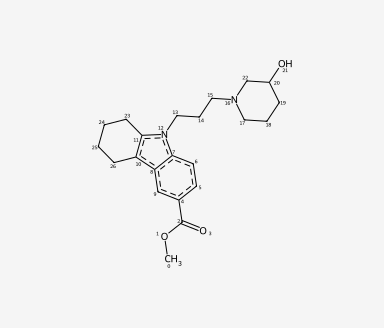 COC(=O)c1ccc2c(c1)c1c(n2CCCN2CCCC(O)C2)CCCC1